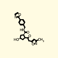 Cc1cc(CC(=O)C2C[C@H](O)C[C@H]2C(=O)NCc2ccc(-c3ncco3)cc2)on1